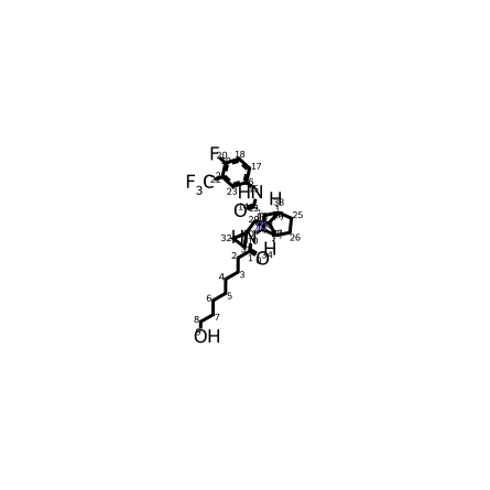 O=C(CCCCCCCO)N[C@H]1[C@H](C(=O)Nc2ccc(F)c(C(F)(F)F)c2)[C@H]2CC[C@@H]1/C2=C\C1CC1